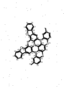 Cc1ccc2c(c1)B1c3cc4c(oc5ccccc54)c4c3N3c5c1c(cc1c5B(c5cc(C)ccc5S1)c1cc5c(oc6ccccc65)c(c13)S4)S2